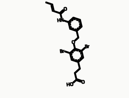 CC=CC(=O)Nc1cccc(COc2c(Br)cc(CCC(=O)O)cc2Br)c1